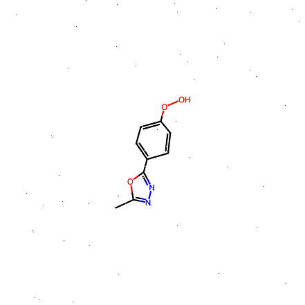 Cc1nnc(-c2ccc(OO)cc2)o1